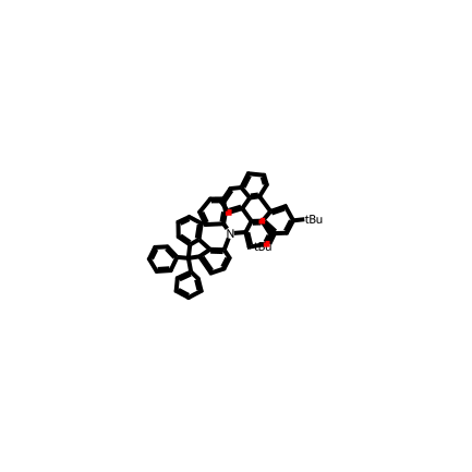 CC(C)(C)c1cc(-c2cccc3cccc(-c4ccccc4N(c4ccccc4)c4cccc5c4-c4ccccc4C5(c4ccccc4)c4ccccc4)c23)cc(C(C)(C)C)c1